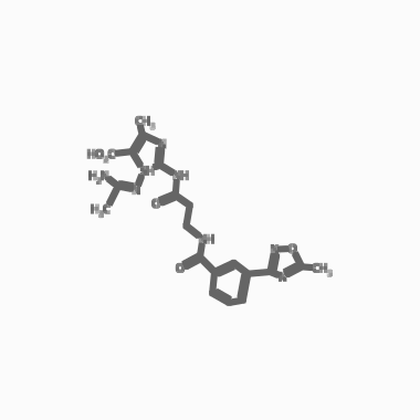 CC1=C(C(=O)O)[SH](/N=C(/C)N)C(NC(=O)CCNC(=O)c2cccc(-c3noc(C)n3)c2)=N1